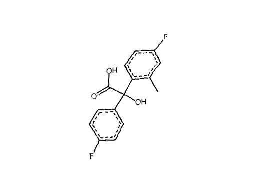 Cc1cc(F)ccc1C(O)(C(=O)O)c1ccc(F)cc1